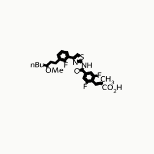 CCCCC(CCc1cccc(-c2csc(NC(=O)c3cc(F)c(C=C(C)C(=O)O)c(F)c3)n2)c1F)OC